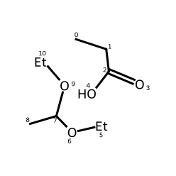 CCC(=O)O.CCOC(C)OCC